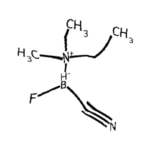 CC[N+](C)(C)[BH-](F)C#N